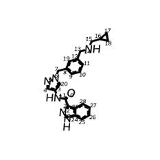 O=C(Nc1cnn(Cc2cccc(CNCC3CC3)c2)c1)c1n[nH]c2ccccc12